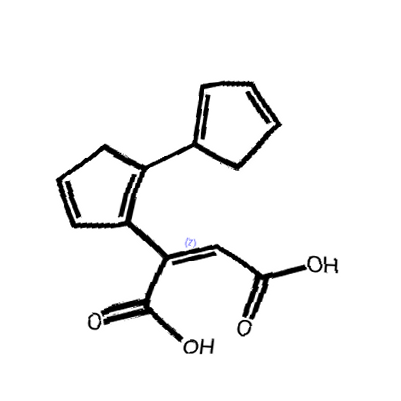 O=C(O)/C=C(\C(=O)O)C1=C(C2=CC=CC2)CC=C1